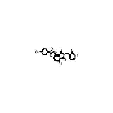 CC(C)(C)C1=CC=C(S(=O)(=O)Nc2ccc(Cl)c3c2C(=O)N(Cc2ccc[nH]c2=O)C3=O)CC1